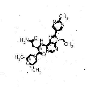 CCn1c(-c2cnc(C)nc2)nc2c(N[C@H](CC(N)=O)C(=O)N3C[C@@H](C)O[C@@H](C)C3)ncnc21